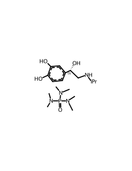 CC(C)NC[C@@H](O)c1ccc(O)c(O)c1.CN(C)P(=O)(N(C)C)N(C)C